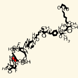 CC(C)[C@H](NC(=O)CCCCCN1C(=O)C=CC1=O)C(=O)N[C@@H](C)C(=O)Nc1ccc(COC(=O)N(C)CCCC(=O)Nc2ncnc3c2ncn3[C@@H]2O[C@@H]3CCO[P@@](=O)(S)O[C@@H]4[C@H](O)[C@@H](CO[P@@](=O)(S)O[C@H]3[C@H]2F)O[C@H]4n2cc(F)c3c(=O)[nH]cnc32)cc1